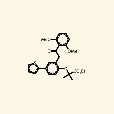 CCOC(=O)C(C)(C)Oc1ccc(-c2cccs2)cc1CC(=O)c1c(OC)cccc1OC